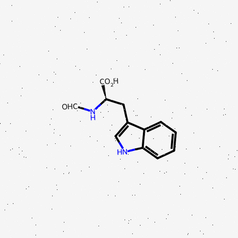 O=CN[C@H](Cc1c[nH]c2ccccc12)C(=O)O